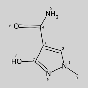 Cn1cc(C(N)=O)c(O)n1